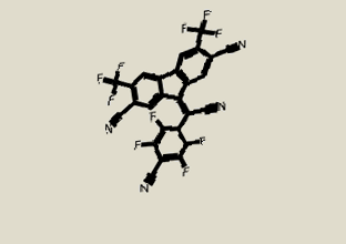 N#CC1=C(F)C(F)C(C(C#N)=C2c3cc(C#N)c(C(F)(F)F)cc3-c3cc(C(F)(F)F)c(C#N)cc32)C(F)=C1F